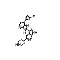 Fc1ccc(-c2ccnc3[nH]c(-c4n[nH]c5cnc(C6CCNCC6)cc45)nc23)s1